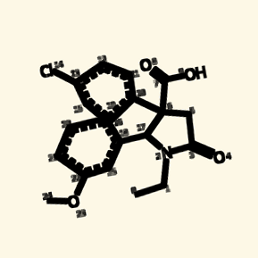 CCN1C(=O)CC(C(=O)O)(c2ccc(Cl)cc2)C1c1cccc(OC)c1